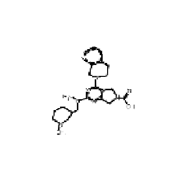 CN1CCCC(CN(C)c2nc3c(c(N4CCc5cccnc5C4)n2)CN(C(=O)O)C3)C1